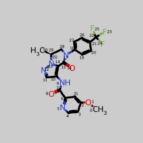 COc1ccnc(C(=O)Nc2cnn3c2C(=O)N(c2ccc(C(F)(F)F)cc2)C[C@@H]3C)c1